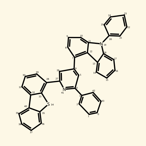 c1ccc(-c2cc(-c3cccc4c3c3ccccc3n4-c3ccccc3)cc(-c3cccc4c3sc3ccccc34)n2)cc1